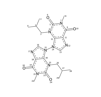 CC(C)Cn1c(=O)n(C)c(=O)c2ncn(-n3cnc4c(=O)n(C)c(=O)n(CC(C)C)c43)c21